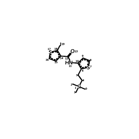 C[Si](C)(C)CCc1sccc1NC(=O)c1ccsc1I